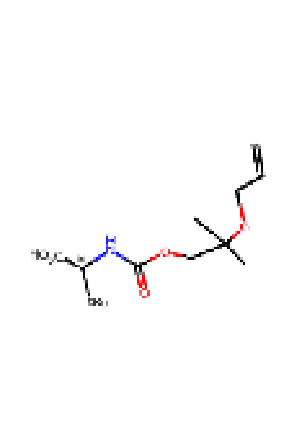 C=CCOC(C)(C)COC(=O)N[C@H](C(=O)O)C(C)(C)C